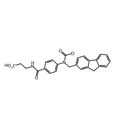 O=C(O)CCNC(=O)c1ccc(N(Cc2ccc3c(c2)Cc2ccccc2-3)C(=O)Cl)cc1